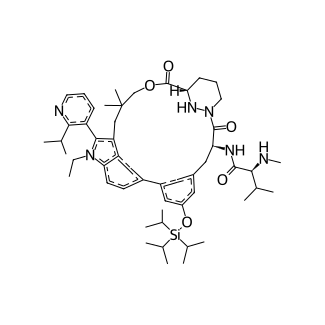 CCn1c(-c2cccnc2C(C)C)c2c3cc(ccc31)-c1cc(cc(O[Si](C(C)C)(C(C)C)C(C)C)c1)C[C@H](NC(=O)[C@@H](NC)C(C)C)C(=O)N1CCC[C@H](N1)C(=O)OCC(C)(C)C2